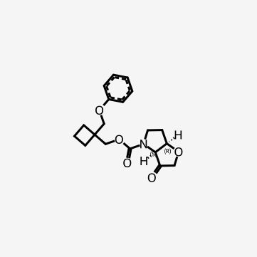 O=C1CO[C@@H]2CCN(C(=O)OCC3(COc4ccccc4)CCC3)[C@H]12